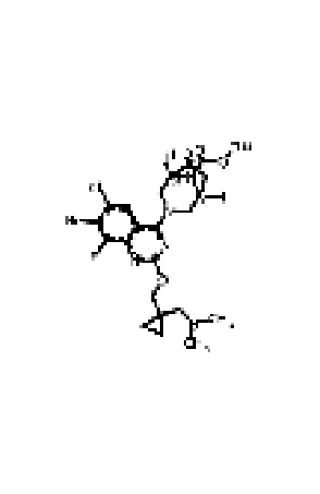 CN(C)CC1(COc2nc(N3C[C@H]4C[C@@H](O)[C@@H](C3)N4C(=O)OC(C)(C)C)c3cc(Cl)c(Br)c(F)c3n2)CC1